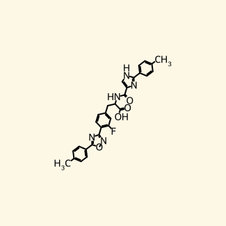 Cc1ccc(-c2nc(C(=O)NC(Cc3ccc(-c4noc(-c5ccc(C)cc5)n4)c(F)c3)C(=O)O)c[nH]2)cc1